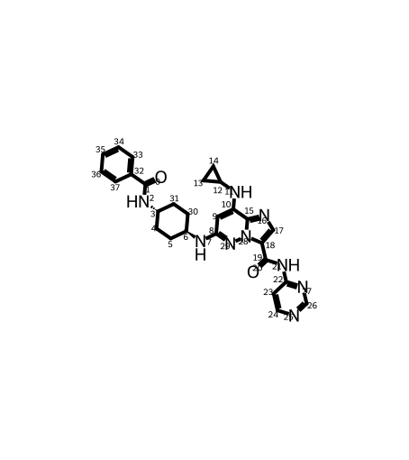 O=C(N[C@H]1CC[C@H](Nc2cc(NC3CC3)c3ncc(C(=O)Nc4ccncn4)n3n2)CC1)c1ccccc1